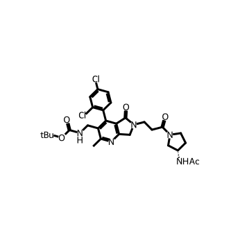 CC(=O)N[C@H]1CCN(C(=O)CCN2Cc3nc(C)c(CNC(=O)OC(C)(C)C)c(-c4ccc(Cl)cc4Cl)c3C2=O)C1